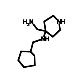 NCC1(NCC2CCCCC2)CCNCC1